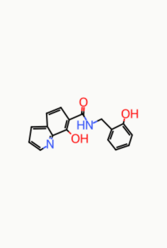 O=C(NCc1ccccc1O)c1ccc2cccnc2c1O